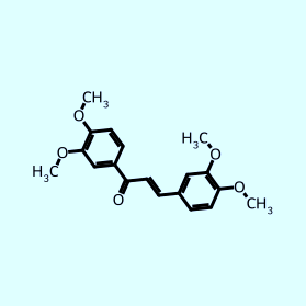 COc1ccc(C=CC(=O)c2ccc(OC)c(OC)c2)cc1OC